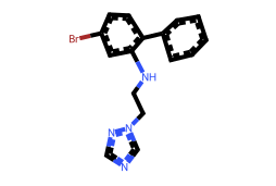 Brc1ccc(-c2ccccc2)c(NCCn2cncn2)c1